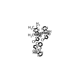 COc1nc(C)c(C)nc1NS(=O)(=O)c1ccc(Cl)s1.COc1nccnc1NS(=O)(=O)c1ccc(Cl)s1.O=S(=O)(Nc1nccnc1OCc1ccccn1)c1ccc(Cl)s1